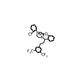 COc1ccccc1C([CH]Cc1cc(C(F)(F)F)cc(C(F)(F)F)c1)N1CCN(c2ccccc2Cl)CC1